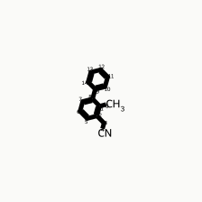 Cc1c(CC#N)cccc1-c1ccccc1